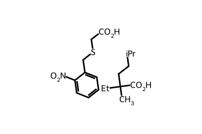 CCC(C)(CCC(C)C)C(=O)O.O=C(O)CSCc1ccccc1[N+](=O)[O-]